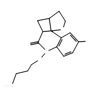 NCCCCN1C(=O)C2CC3CCOC32c2cc(Cl)ccc21